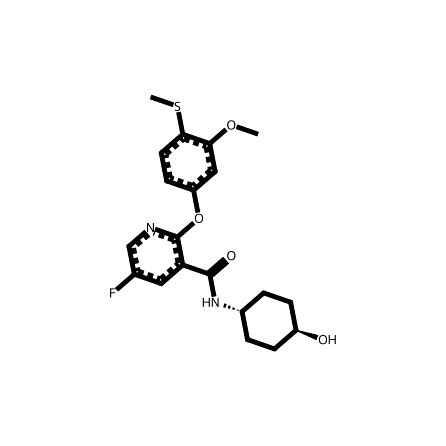 COc1cc(Oc2ncc(F)cc2C(=O)N[C@H]2CC[C@H](O)CC2)ccc1SC